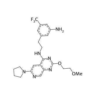 COCCOc1nc(NCCc2cc(N)cc(C(F)(F)F)c2)c2cc(N3CCCC3)ncc2n1